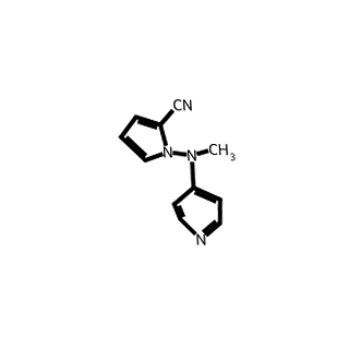 CN(c1ccncc1)n1cccc1C#N